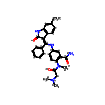 CCOC(=O)c1ccc2c(c1)NC(=O)C2=C(Nc1ccc(N(C)C(=O)CN(C)C)c(C(N)=O)c1)c1ccccc1